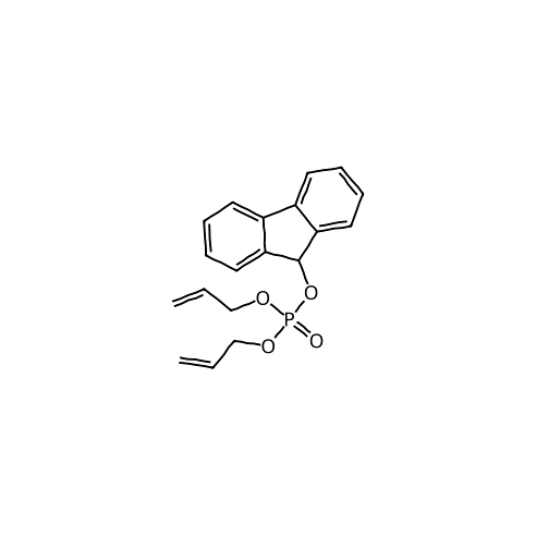 C=CCOP(=O)(OCC=C)OC1c2ccccc2-c2ccccc21